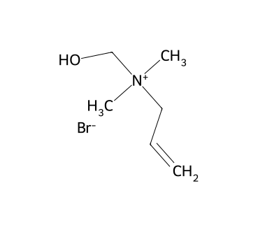 C=CC[N+](C)(C)CO.[Br-]